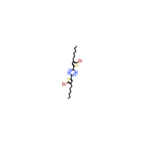 CCCCCCc1cc(-c2nnc(-c3cc(CCCCCC)c(Br)s3)nn2)sc1Br